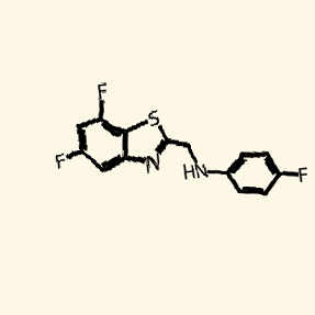 Fc1ccc(NCc2nc3cc(F)cc(F)c3s2)cc1